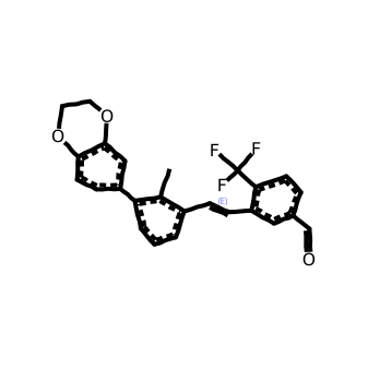 Cc1c(/C=C/c2cc(C=O)ccc2C(F)(F)F)cccc1-c1ccc2c(c1)OCCO2